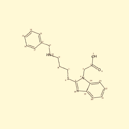 O=C(O)Cn1c(SCCCNCc2ccccc2)nc2ccccc21